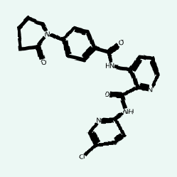 O=C(Nc1cccnc1C(=O)Nc1ccc(Cl)cn1)c1ccc(N2CCCCC2=O)cc1